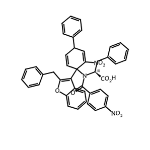 O=C(O)[C@H](Cc1ccccc1)N(C(=O)c1ccc([N+](=O)[O-])cc1)C1(c2c(Cc3ccccc3)oc3ccccc23)C=CC(c2ccccc2)C=C1[N+](=O)[O-]